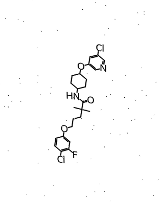 CC(C)(CCCOc1ccc(Cl)c(F)c1)C(=O)NC1CCC(Oc2cncc(Cl)c2)CC1